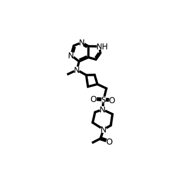 CC(=O)N1CCN(S(=O)(=O)CC2CC(N(C)c3ncnc4[nH]ccc34)C2)CC1